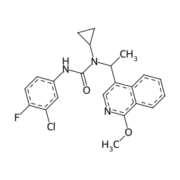 COc1ncc(C(C)N(C(=O)Nc2ccc(F)c(Cl)c2)C2CC2)c2ccccc12